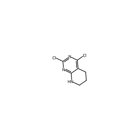 Clc1nc(Cl)c2c(n1)NCCC2